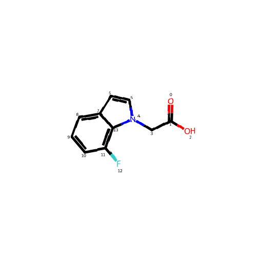 O=C(O)Cn1ccc2cccc(F)c21